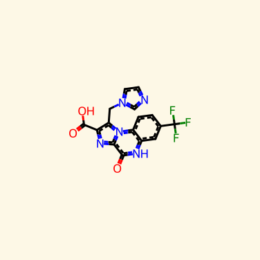 O=C(O)c1nc2c(=O)[nH]c3cc(C(F)(F)F)ccc3n2c1Cn1ccnc1